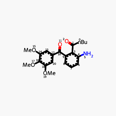 CCCCC(=O)c1c(N)cccc1C(=O)c1cc(OC)c(OC)c(OC)c1